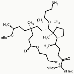 CCCCCCN(CCCCCC)C(=O)CC[C@@H](C)[C@H]1CC[C@@H](C)[C@]1(C)[C@H](C[C@@H](C)[C@@](C)(CC[C@H](CC)OCCCN)CC[C@H](C)OCCCC)OCCCN